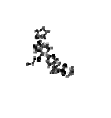 CCCOc1c(-c2ccc(C(C)(C)NC(=O)OC(C)(C)C)cn2)ccc2c1cnn2C1CCCCO1